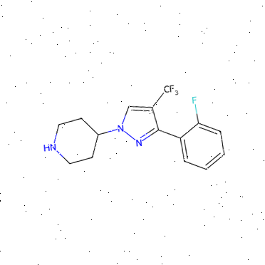 Fc1ccccc1-c1nn(C2CCNCC2)cc1C(F)(F)F